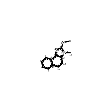 CSc1sc2c3ccccc3ccc2[n+]1C